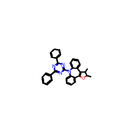 CC1OC2=C(c3ccccc3N(c3nc(C4=CCCC=C4)nc(-c4ccccc4)n3)c3ccccc32)C1C